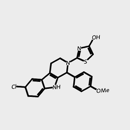 COc1ccc(C2c3[nH]c4c(c3CCN2c2nc(O)cs2)=CC(Cl)CC=4)cc1